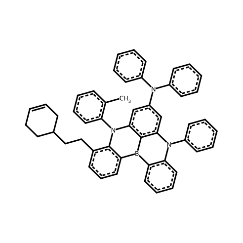 Cc1ccccc1N1c2cc(N(c3ccccc3)c3ccccc3)cc3c2B(c2ccccc2N3c2ccccc2)c2cccc(CCC3CC=CCC3)c21